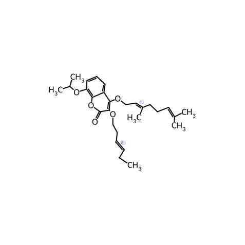 CC/C=C/CCOc1c(OC/C=C(\C)CCC=C(C)C)c2cccc(OC(C)C)c2oc1=O